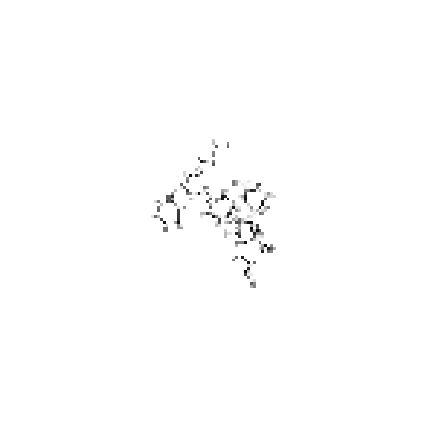 CCCCOCC(CC1CCCCC1)OCc1ccc(C(=O)N[C@@H](CCSC)C(=O)O)c(-c2ccccc2C)c1